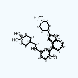 CN1CCC(c2cc3c(-c4nc(NCC5CCS(O)(O)CC5)ccc4Cl)ccnc3[nH]2)CC1